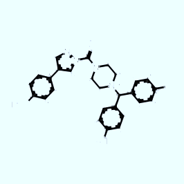 Cc1ccc(-c2cnn(C(=O)N3CCN(C(c4ccc(Cl)cc4)c4ccc(Cl)cc4)CC3)c2)cc1